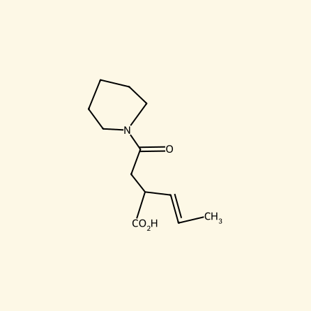 CC=CC(CC(=O)N1CCCCC1)C(=O)O